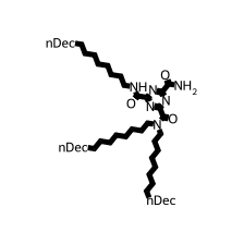 CCCCCCCCCCCCCCCCCCNC(=O)c1nc(C(N)=O)nc(C(=O)N(CCCCCCCCCCCCCCCCCC)CCCCCCCCCCCCCCCCCC)n1